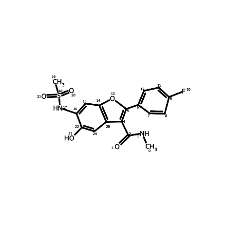 CNC(=O)c1c(-c2ccc(F)cc2)oc2cc(NS(C)(=O)=O)c(O)cc12